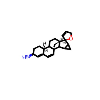 CC[C@]12CCC3C(C=CC4=CC(=N)CC[C@@H]43)C1C1CC1[C@@]21C=CCO1